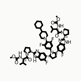 COC(=O)N[C@H](C(=O)N1CCC[C@H]1c1nc2cc([C@H]3CC[C@H](c4cc5nc([C@@H]6CCCN6C(=O)[C@@H](NC(=O)OC)C(C)C)[nH]c5cc4F)N3c3cc(F)c(N4CCC(C5CCCCC5)CC4)c(F)c3)c(F)cc2[nH]1)C(C)C